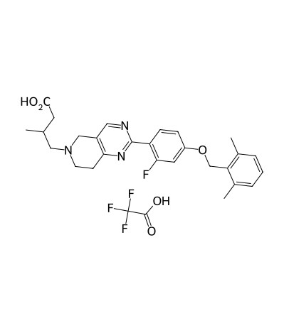 Cc1cccc(C)c1COc1ccc(-c2ncc3c(n2)CCN(CC(C)CC(=O)O)C3)c(F)c1.O=C(O)C(F)(F)F